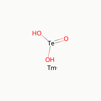 O=[Te](O)O.[Tm]